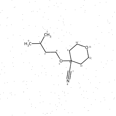 CC(C)CCOC1(C#N)CCOCC1